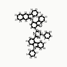 c1ccc(-c2nc(-c3ccc(-n4c5ccccc5c5cc6ccccc6cc54)c4c3oc3ccccc34)nc(-c3cccc4c3c3ccccc3n4-c3ccccc3)n2)cc1